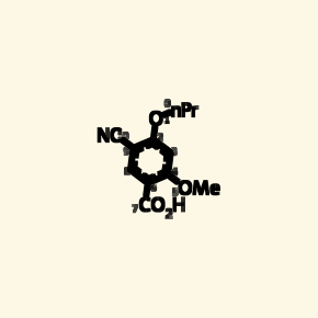 CCCOc1cc(OC)c(C(=O)O)cc1C#N